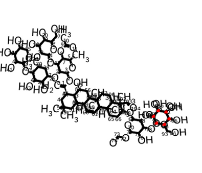 C=C(OC1OC(C)C(OC(C)=O)C(OC2OC(CO)C(O)C(O)C2O)C1OC1CC(C)C(OC2OCC(O)C(O)C2O)C(O)C1O)[C@@H]1CC(C)(C)C[C@@H]2C1[C@H](O)C[C@]1(C)C2C=C[C@@H]2[C@@]3(C)CC[C@H](OC4OC(OC=O)C(O)C(OC5OCC(O)C(O)C5O)C4OC4OC(CO)C(O)C(O)C4O)[C@@](C)(C=O)[C@@H]3CC[C@]21C